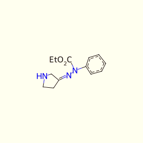 CCOC(=O)N(N=C1CCNC1)c1ccccc1